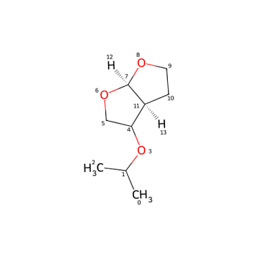 CC(C)OC1CO[C@H]2OCC[C@@H]12